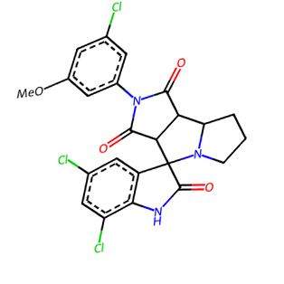 COc1cc(Cl)cc(N2C(=O)C3C4CCCN4C4(C(=O)Nc5c(Cl)cc(Cl)cc54)C3C2=O)c1